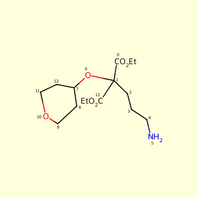 CCOC(=O)C(CCCN)(OC1CCOCC1)C(=O)OCC